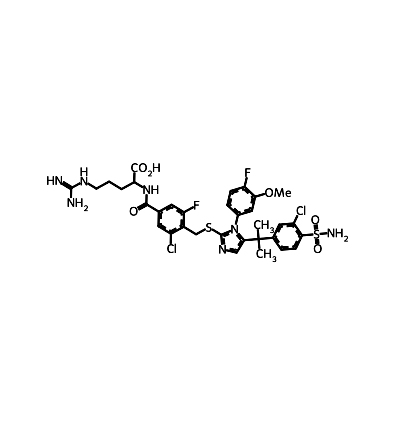 COc1cc(-n2c(C(C)(C)c3ccc(S(N)(=O)=O)c(Cl)c3)cnc2SCc2c(F)cc(C(=O)NC(CCCNC(=N)N)C(=O)O)cc2Cl)ccc1F